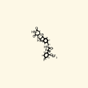 O=C1CCC(NC2Cc3cc(CNC(=O)C(F)(F)c4ccc(F)cc4OC(F)(F)F)ccc3C2=O)C(=O)N1